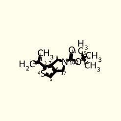 C=C(C)c1scc2c1CN(C(=O)OC(C)(C)C)C2